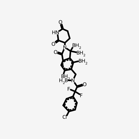 Bc1cc2c(c(B)c1CN(B)C(=O)C(F)(F)c1ccc(Cl)cc1)C(B)(B)N(C1CCC(=O)NC1=O)C2=O